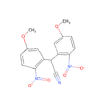 COc1ccc([N+](=O)[O-])c(C(C#N)c2cc(OC)ccc2[N+](=O)[O-])c1